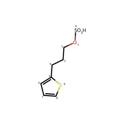 O=S(=O)(O)OCCCc1cccs1